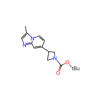 Cc1cnc2cc(C3CN(C(=O)OC(C)(C)C)C3)ccn12